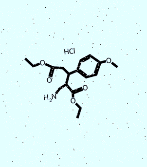 CCOC(=O)CC(c1ccc(OC)cc1)C(CN)C(=O)OCC.Cl